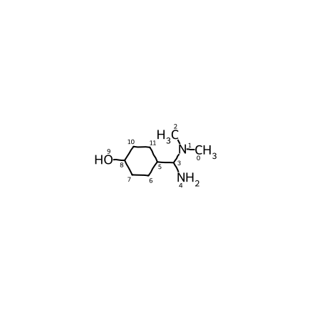 CN(C)C(N)C1CCC(O)CC1